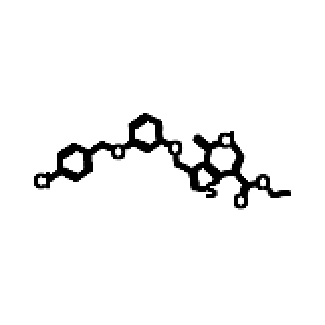 C=C(Cl)c1c(COc2cccc(OCc3ccc(Cl)cc3)c2)csc1/C(=C\C)C(=O)OCC